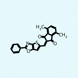 Cc1ccc(C)c2c1C(=O)C(=Cc1cc3oc(-c4ccccc4)nc3s1)C2=O